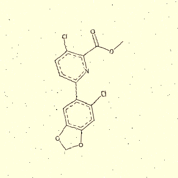 COC(=O)c1nc(-c2cc3c(cc2Cl)OCO3)ccc1Cl